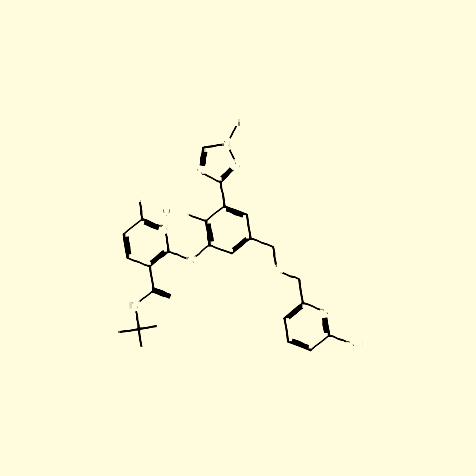 [2H]C([2H])([2H])NC(=O)c1ccc(Cl)nc1Nc1cc(COCc2cccc(N)n2)cc(-c2ncn(C(C)C)n2)c1OC